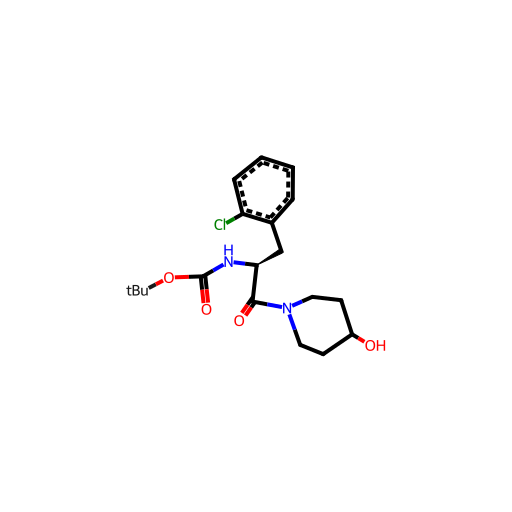 CC(C)(C)OC(=O)N[C@@H](Cc1ccccc1Cl)C(=O)N1CCC(O)CC1